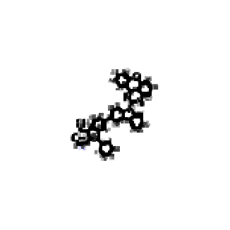 C=Cc1c(/C=C\C)n(-c2ccccc2)c2cc(-c3ccc4c(c3)c3ccccc3n4-c3nc4c5c(cccc5n3)Oc3ccccc3-4)ccc12